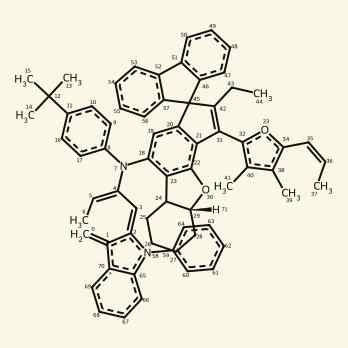 C=c1/c(=C\C(=C/C)N(c2ccc(C(C)(C)C)cc2)c2cc3c(c4c2C2CCCC[C@H]2O4)C(c2oc(/C=C\C)c(C)c2C)=C(CC)C32c3ccccc3-c3ccccc32)n(-c2ccccc2)c2ccccc12